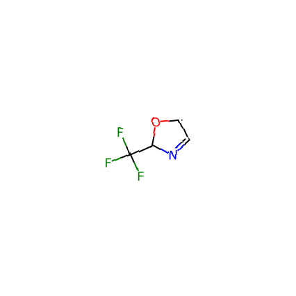 FC(F)(F)C1N=C[CH]O1